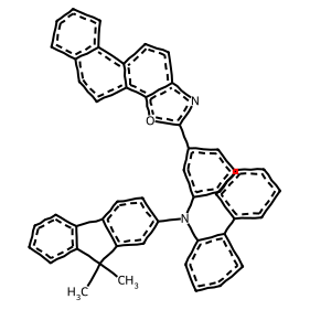 CC1(C)c2ccccc2-c2ccc(N(c3cccc(-c4nc5ccc6c7ccccc7ccc6c5o4)c3)c3ccccc3-c3ccccc3)cc21